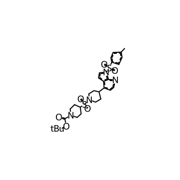 Cc1ccc(S(=O)(=O)n2ccc3c(C4CCN(S(=O)(=O)C5CCN(C(=O)OC(C)(C)C)CC5)CC4)ccnc32)cc1